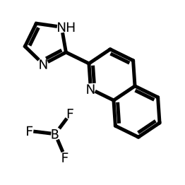 FB(F)F.c1ccc2nc(-c3ncc[nH]3)ccc2c1